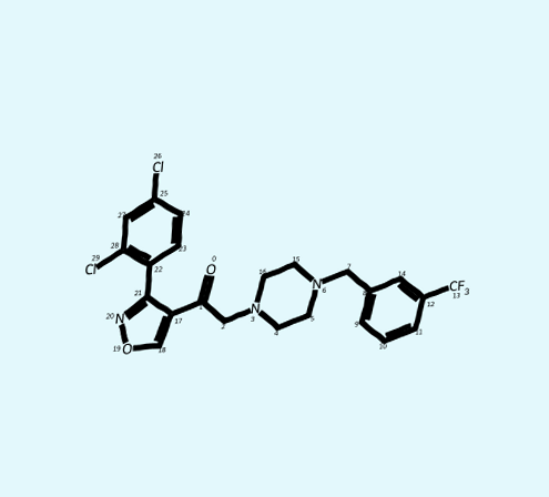 O=C(CN1CCN(Cc2cccc(C(F)(F)F)c2)CC1)c1conc1-c1ccc(Cl)cc1Cl